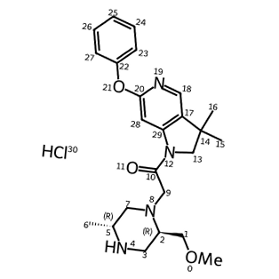 COC[C@H]1CN[C@H](C)CN1CC(=O)N1CC(C)(C)c2cnc(Oc3ccccc3)cc21.Cl